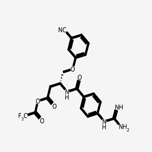 N#Cc1cccc(OC[C@@H](CC(=O)OC(=O)C(F)(F)F)NC(=O)c2ccc(NC(=N)N)cc2)c1